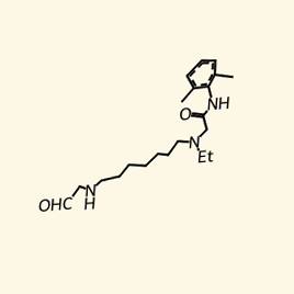 CCN(CCCCCCCNCC=O)CC(=O)Nc1c(C)cccc1C